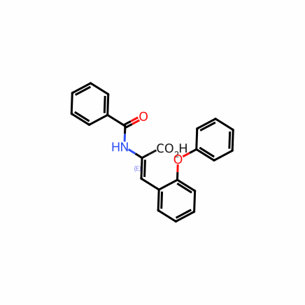 O=C(O)/C(=C\c1ccccc1Oc1ccccc1)NC(=O)c1ccccc1